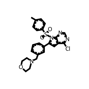 Cc1ccc(S(=O)(=O)n2c(-c3cccc(CN4CCOCC4)c3)cc3c(Cl)ncnc32)cc1